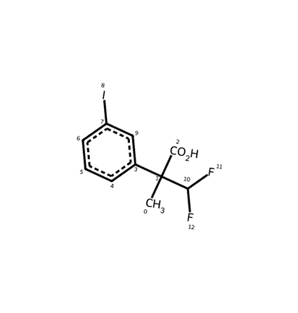 CC(C(=O)O)(c1cccc(I)c1)C(F)F